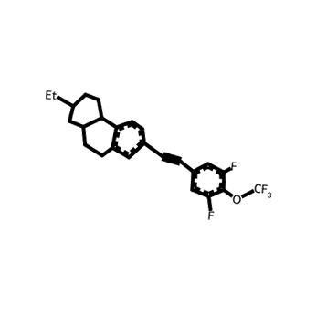 CCC1CCC2c3ccc(C#Cc4cc(F)c(OC(F)(F)F)c(F)c4)cc3CCC2C1